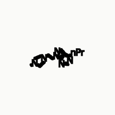 [CH2]CCc1ncnc2c1cnn2CCN1CCN(C)CC1